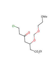 CCOC(=O)CC(CC(=O)CCCl)OCOCCOC